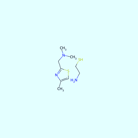 Cc1csc(CN(C)C)n1.NCCS